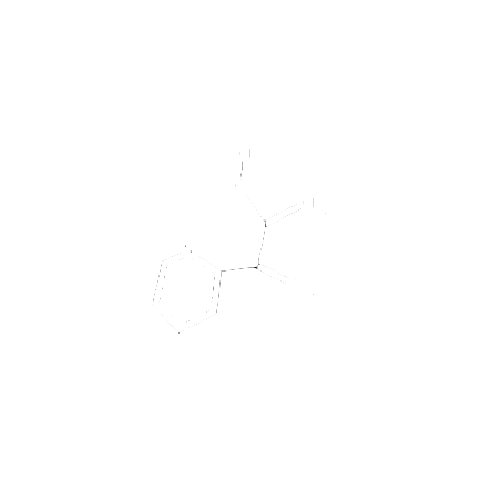 C=C(OC)C(=C)c1ccccn1